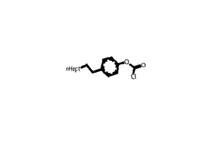 CCCCCCCCCc1ccc(OC(=O)Cl)cc1